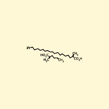 C=C(CCCCCCCCCCCCCCCCC(C)C)C(=O)O.C=CCCC(=C)C(=O)O